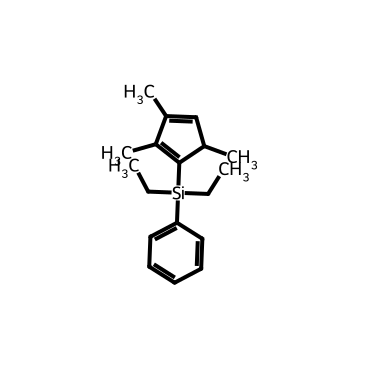 CC[Si](CC)(C1=C(C)C(C)=CC1C)c1ccccc1